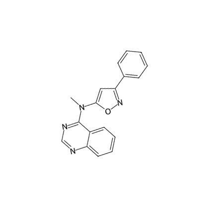 CN(c1cc(-c2ccccc2)no1)c1ncnc2ccccc12